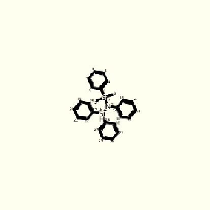 C[Si](C)(c1ccccc1)N(c1ccccc1)[SiH](c1ccccc1)c1ccccc1